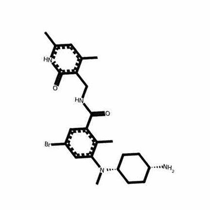 Cc1cc(C)c(CNC(=O)c2cc(Br)cc(N(C)[C@H]3CC[C@@H](N)CC3)c2C)c(=O)[nH]1